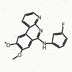 COc1cc2c(Nc3cccc(F)c3)nc3ncccc3c2cc1OC